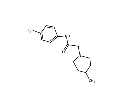 Cc1ccc(NC(=O)CN2CCC(C)CC2)cc1